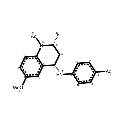 COc1ccc2c(c1)[C@@H](Nc1ccc(C(C)=O)cc1)C[C@@H](C)N2C(C)=O